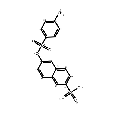 Cc1ccc(S(=O)(=O)Oc2ccc3cc(S(=O)(=O)Cl)ccc3c2)cc1